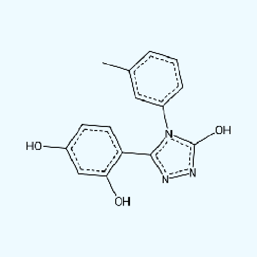 Cc1cccc(-n2c(O)nnc2-c2ccc(O)cc2O)c1